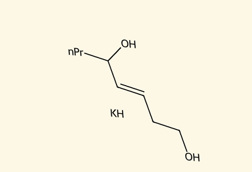 CCCC(O)C=CCCO.[KH]